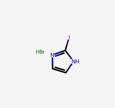 Br.Ic1ncc[nH]1